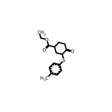 CCOC(=O)C1CCC(=O)C(Sc2ccc(C)cc2)C1